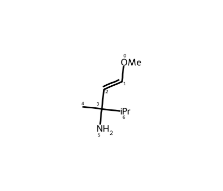 CO/C=C/C(C)(N)C(C)C